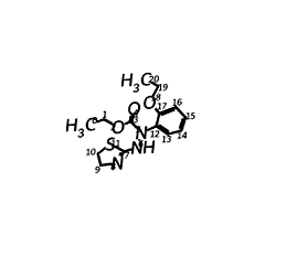 CCOC(=O)N(NC1=NCCS1)c1ccccc1OCC